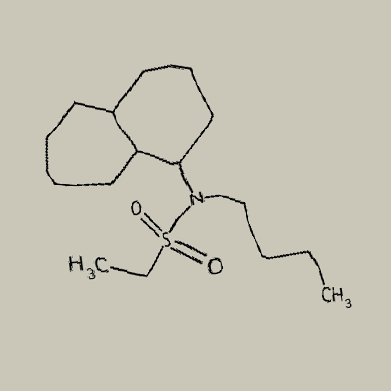 CCCCN(C1CCCC2CCCCC21)S(=O)(=O)CC